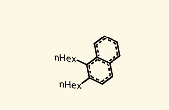 CCCCCCc1ccc2ccccc2c1CCCCCC